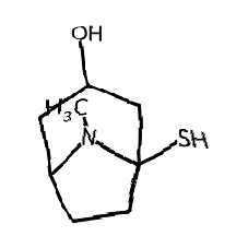 CN1C2CCC1(S)CC(O)C2